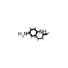 C=C1CCc2cc(N)ccc2N1